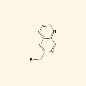 BrCc1ncc2nccnc2n1